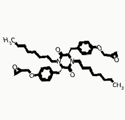 CCCCCCCCN1C(=O)[C@H](Cc2ccc(OCC3CO3)cc2)N(CCCCCCCC)C(=O)[C@H]1Cc1ccc(OCC2CO2)cc1